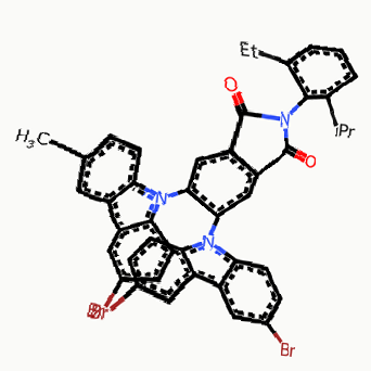 CCc1cccc(C(C)C)c1N1C(=O)c2cc(-n3c4ccc(C)cc4c4cc(Br)ccc43)c(-n3c4ccc(Br)cc4c4cc(Br)ccc43)cc2C1=O